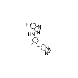 Cc1cc(Nc2ncnc3ccc(I)cc23)ccc1Cc1ccn2ncnc2c1